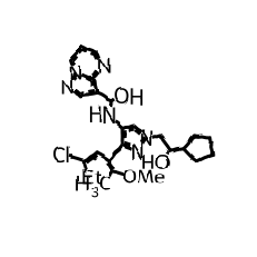 CC/C(Cl)=C\C(=C(/C)OC)c1nn(C[C@H](O)C2CCCC2)cc1NC(O)c1cnn2cccnc12